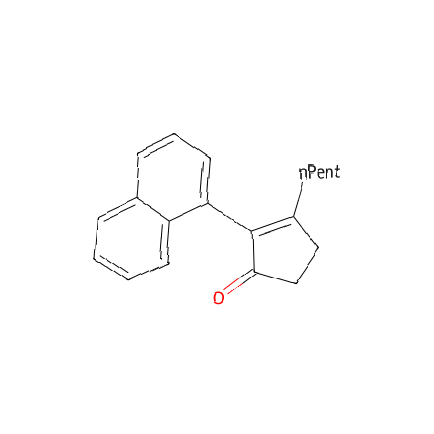 CCCCCC1=C(c2cccc3ccccc23)C(=O)CC1